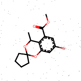 COC(=O)c1cc(Br)cc2c1C(C)OC1(CCCC1)O2